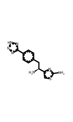 Nc1nc([C@@H](N)Cc2ccc(-c3nn[nH]n3)cc2)cs1